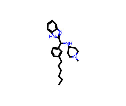 CCCCCCc1cccc(C(NC2CCN(C)CC2)c2nc3ccccc3[nH]2)c1